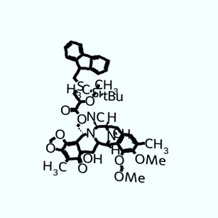 COCOc1c(OC)c(C)cc2c1[C@@H]1C3C[C@]4(O)C(=O)C(C)=C5OCOC5=C4[C@H](COC(=O)C(CSCC4c5ccccc5-c5ccccc54)O[Si](C)(C)C(C)(C)C)N3[C@@H](C#N)[C@H](C2)N1C